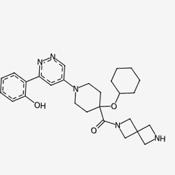 O=C(N1CC2(CNC2)C1)C1(OC2CCCCC2)CCN(c2cnnc(-c3ccccc3O)c2)CC1